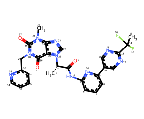 C[C@@H](C(=O)Nc1cccc(-c2cnc(C(C)(F)F)nc2)n1)n1cnc2c1c(=O)n(Cc1ccccn1)c(=O)n2C